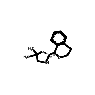 CC1(C)CN[C@@H]([C@@H]2OCCc3ccccc32)C1